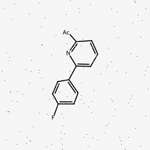 CC(=O)c1cccc(-c2ccc(F)cc2)n1